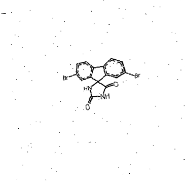 O=C1NC(=O)C2(N1)c1cc(Br)ccc1-c1ccc(Br)cc12